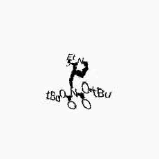 CCSc1ncccc1CN(C(=O)OC(C)(C)C)C(=O)OC(C)(C)C